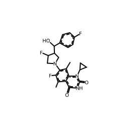 Cc1c(F)c(N2CC(F)C(C(O)c3ccc(F)cc3)C2)c(C)c2c1c(=O)[nH]c(=O)n2C1CC1